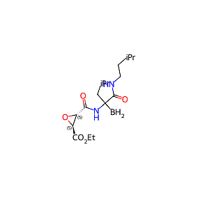 BC(CC(C)C)(NC(=O)[C@H]1O[C@@H]1C(=O)OCC)C(=O)NCCC(C)C